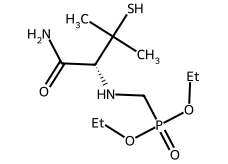 CCOP(=O)(CN[C@H](C(N)=O)C(C)(C)S)OCC